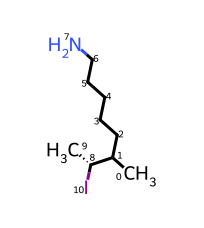 CC(CCCCCN)[C@@H](C)I